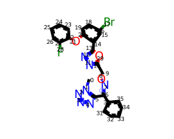 Cn1nnnc1/C(=N\OCc1nnc(-c2cc(Br)ccc2Oc2ccccc2F)o1)c1ccccc1